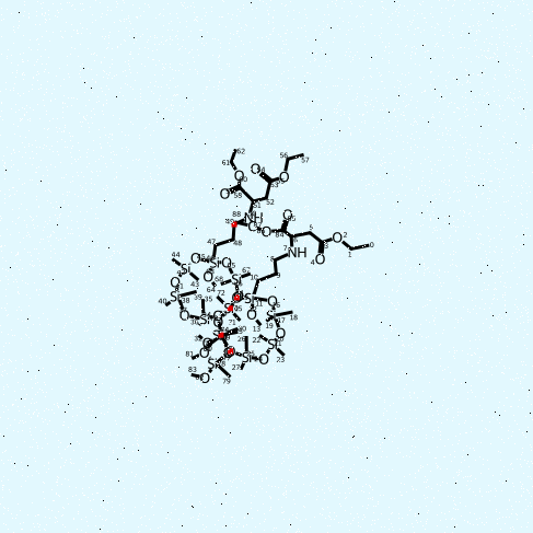 CCOC(=O)CC(NCCC[Si](OC)(OC)O[Si](C)(C)O[Si](C)(C)O[Si](C)(C)O[Si](C)(OC)O[Si](C)(C)O[Si](C)(C)O[Si](C)(C)O[Si](CCCNC(CC(=O)OCC)C(=O)OCC)(OC)O[Si](C)(C)O[Si](C)(C)O[Si](C)(C)O[Si](C)(OC)OC)C(=O)OCC